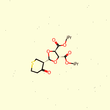 CC(C)OC(=O)[C@@H]1OC([C@H]2CSCCC2=O)O[C@H]1C(=O)OC(C)C